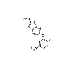 CC(=O)Nc1nc2ccc(Oc3cc(N)ccc3F)nc2s1